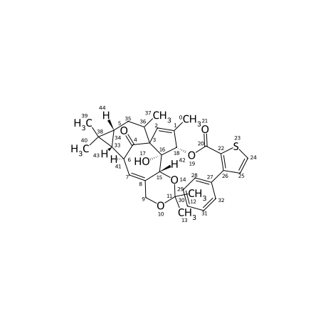 CC1=CC23C(=O)[C@@H](C=C4COC(C)(C)O[C@H]4[C@]2(O)[C@H]1OC(=O)c1sccc1-c1ccccc1)[C@H]1[C@@H](CC3C)C1(C)C